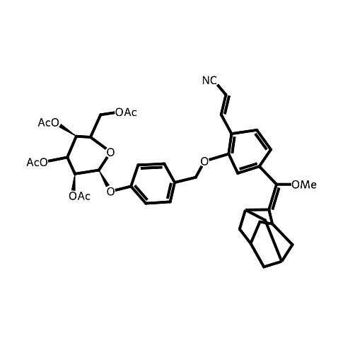 COC(=C1C2CC3CC(C2)CC1C3)c1ccc(/C=C/C#N)c(OCc2ccc(O[C@@H]3OC(COC(C)=O)[C@H](OC(C)=O)C(OC(C)=O)[C@@H]3OC(C)=O)cc2)c1